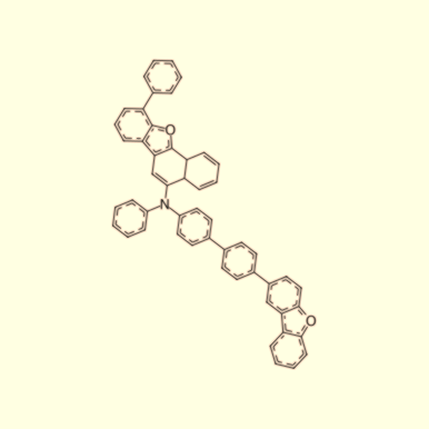 C1=CC2C(N(c3ccccc3)c3ccc(-c4ccc(-c5ccc6oc7ccccc7c6c5)cc4)cc3)=Cc3c(oc4c(-c5ccccc5)cccc34)C2C=C1